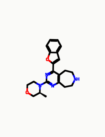 C[C@H]1COCCN1c1nc2c(c(-c3cc4ccccc4o3)n1)CCNCC2